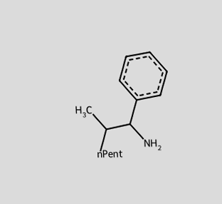 CCCCCC(C)C(N)c1ccccc1